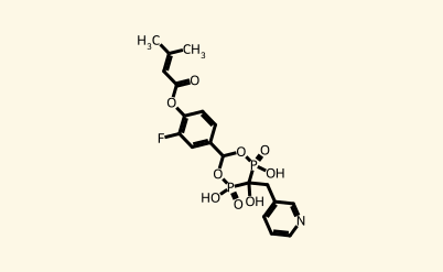 CC(C)=CC(=O)Oc1ccc(C2OP(=O)(O)C(O)(Cc3cccnc3)P(=O)(O)O2)cc1F